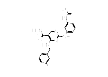 CCC(=O)Nc1cccc(Nc2ncc(C(N)=O)c(NCc3cccc(F)c3)n2)c1